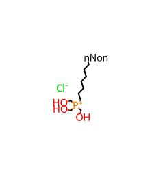 CCCCCCCCCCCCCCCC[P+](CO)(CO)CO.[Cl-]